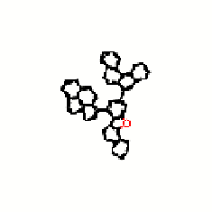 c1ccc2c(c1)ccc1c2oc2cc(-c3cc4ccccc4c4c3ccc3ccccc34)cc(-c3ccc4ccc5cccc6ccc3c4c56)c21